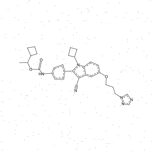 CC(OC(=O)Nc1ccc(-c2c(C#N)c3cc(OCCCn4cncn4)ccc3n2C2CCC2)cc1)C1CCC1